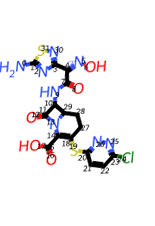 Nc1nc(/C(=N/O)C(=O)NC2C(=O)N3C(C(=O)O)=C(Sc4ccc(Cl)nn4)CCC23)ns1